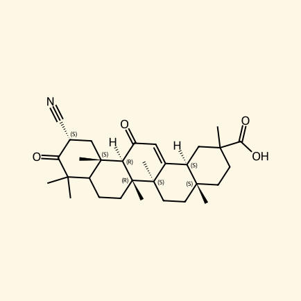 CC1(C(=O)O)CC[C@]2(C)CC[C@]3(C)C(=CC(=O)[C@@H]4[C@@]5(C)C[C@@H](C#N)C(=O)C(C)(C)C5CC[C@]43C)[C@H]2C1